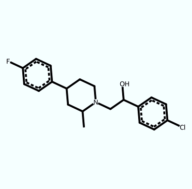 CC1CC(c2ccc(F)cc2)CCN1CC(O)c1ccc(Cl)cc1